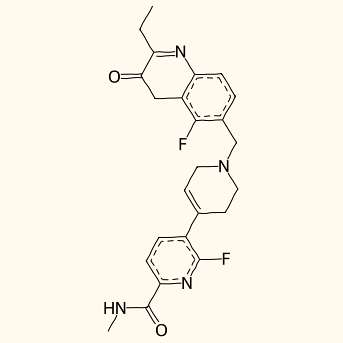 CCC1=Nc2ccc(CN3CC=C(c4ccc(C(=O)NC)nc4F)CC3)c(F)c2CC1=O